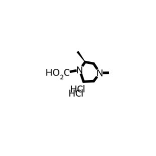 C[C@H]1CN(C)CCN1C(=O)O.Cl.Cl